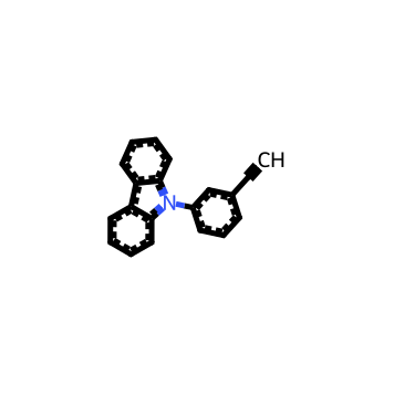 C#Cc1cccc(-n2c3ccccc3c3ccccc32)c1